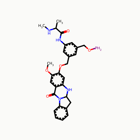 CNC(C)C(=O)Nc1cc(COP)cc(COc2cc3c(cc2OC)C(=O)N2c4ccccc4CC2N3)c1